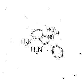 Cl.Cl.Nc1cccc2[nH]c(-c3ccccc3)c(N)c12